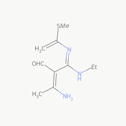 C=C(/N=C(NCC)\C(C=O)=C(\C)N)SC